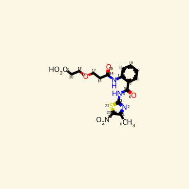 Cc1nc(NC(=O)c2ccccc2NC(=O)CCOCCC(=O)O)sc1[N+](=O)[O-]